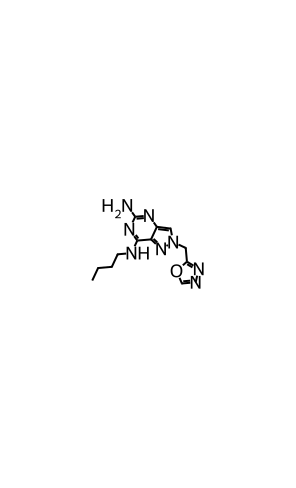 CCCCNc1nc(N)nc2cn(Cc3nnco3)nc12